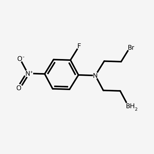 BCCN(CCBr)c1ccc([N+](=O)[O-])cc1F